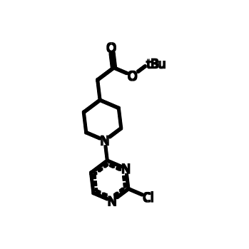 CC(C)(C)OC(=O)CC1CCN(c2ccnc(Cl)n2)CC1